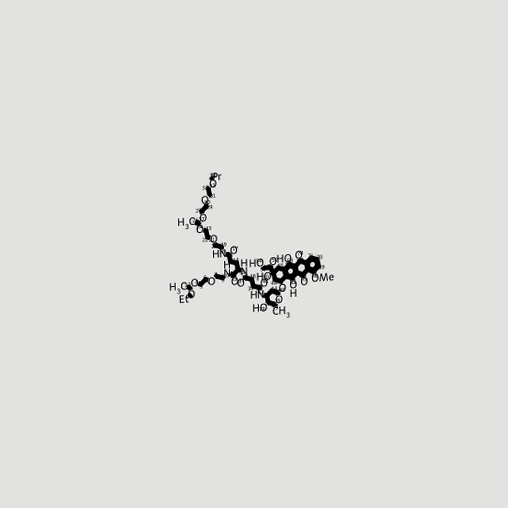 CCOC(C)OCCOCCNC(=O)C(CCC(=O)NCCOCCOC(C)OCCOCCOC(C)C)NC(=O)CCC(=O)NC1CC(O[C@H]2C[C@](O)(C(=O)CO)Cc3c(O)c4c(c(O)c32)C(=O)c2c(OC)cccc2C4=O)OC(C)C1O